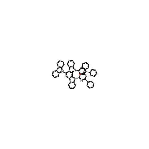 c1ccc(-c2ccc(-n3c4ccccc4c4c(-n5c6ccccc6c6ccccc65)cc5c6ccccc6n(-c6nc(-c7ccccc7)nc(-c7ccccc7)n6)c5c43)cc2)cc1